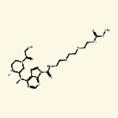 C[C@@H]1CCN(C(=O)CC#N)CC1N(C)c1ncnc2c1ccn2C(=O)NCCOCCOCCNC(=O)OC(C)(C)C